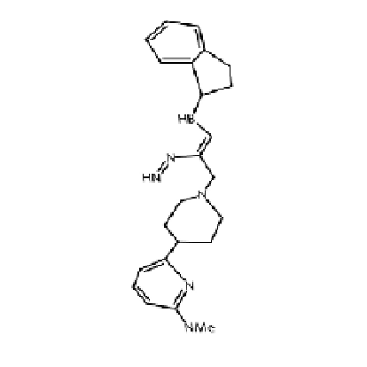 CNc1cccc(C2CCN(C/C(=C/BC3CCc4ccccc43)N=N)CC2)n1